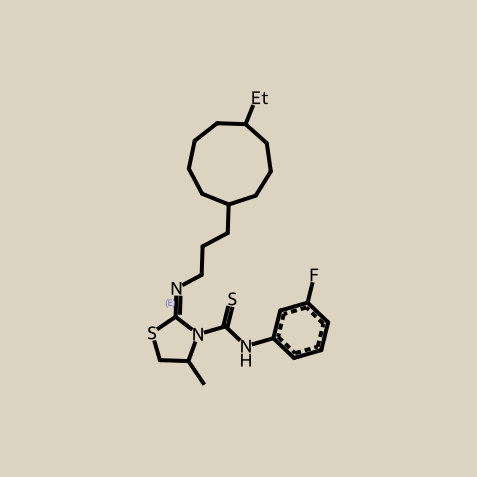 CCC1CCCCC(CCC/N=C2/SCC(C)N2C(=S)Nc2cccc(F)c2)CCC1